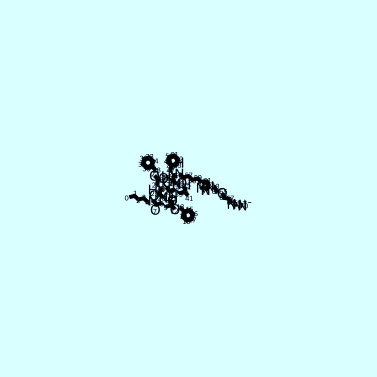 CCCCCNC(=O)[C@H](CC(=O)OCc1ccccc1)NC(=O)[C@@H](CC(=O)OCc1ccccc1)NC(=O)[C@H](CC(C)C)NC(=O)[C@@H](Cc1ccccc1)NC(=O)CCCc1cn(CCOCCN=[N+]=[N-])nn1